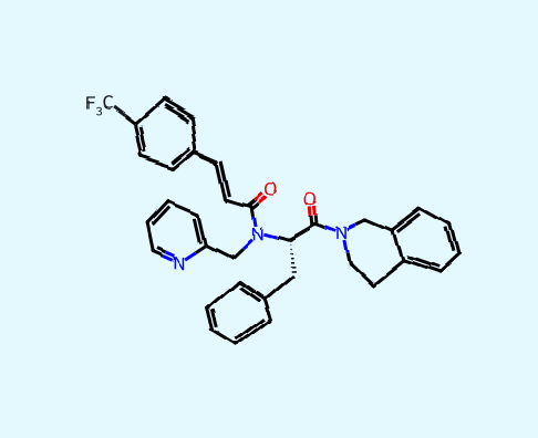 O=C([C@H](Cc1ccccc1)N(Cc1ccccn1)C(=O)/C=C/c1ccc(C(F)(F)F)cc1)N1CCc2ccccc2C1